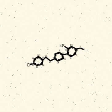 CCc1ccc(-c2ccc(CCc3ccc(Cl)cc3)cc2)c(F)c1